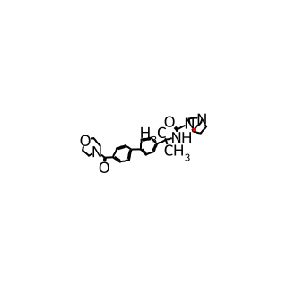 CC(C)(NC(=O)N1CCN2CCC1CC2)c1ccc(-c2ccc(C(=O)N3CCOCC3)cc2)cc1